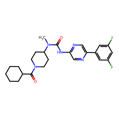 CN(C(=O)Nc1cnc(-c2cc(F)cc(F)c2)cn1)C1CCN(C(=O)C2CCCCC2)CC1